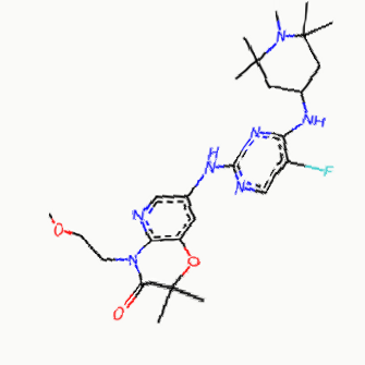 COCCN1C(=O)C(C)(C)Oc2cc(Nc3ncc(F)c(NC4CC(C)(C)N(C)C(C)(C)C4)n3)cnc21